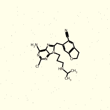 CC(C)NCCCn1c(Cc2cc3c(cc2C#N)CCO3)nc2c(N)nc(Cl)nc21